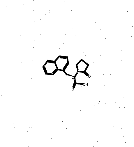 O=C(O)[C@@H](Cc1cccc2ccccc12)N1CCCC1=O